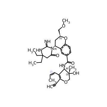 C#CC1=C(/C=C\C)[C@@H](NC(=O)c2ccc3c(c2)[C@H](N2C(=N)NC(CC)(CC)CC2=O)C[C@@H](COC)O3)[C@](C)(O)CO1